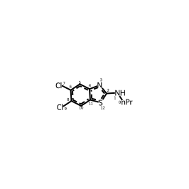 CCCNc1nc2cc(Cl)c(Cl)cc2s1